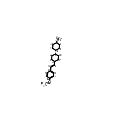 CCC[C@H]1CC[C@H](C2CCC(C=Cc3ccc(OC(F)(F)F)cc3)CC2)CC1